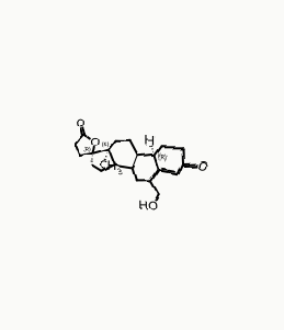 C[C@]12CCC3C(CC(CO)C4=CC(=O)CC[C@@H]43)C1CC[C@@]21CCC(=O)O1